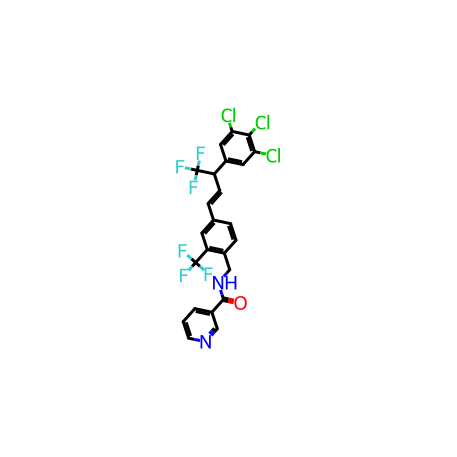 O=C(NCc1ccc(/C=C/C(c2cc(Cl)c(Cl)c(Cl)c2)C(F)(F)F)cc1C(F)(F)F)c1cccnc1